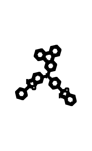 c1ccc(-c2nc3ccc(N(c4ccc(-c5nc6ccccc6o5)cc4)c4ccc5c6ccccc6c6ccccc6c5c4)cc3o2)cc1